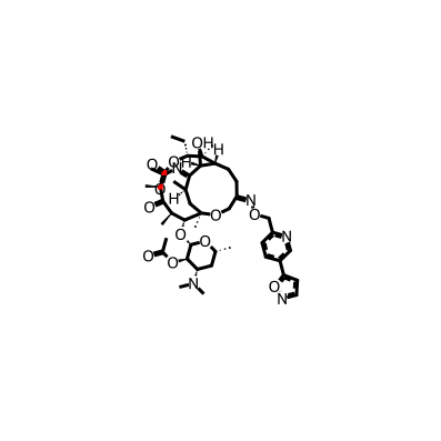 CC[C@H]1OC(=O)[C@H](C)C(=O)[C@H](C)[C@@H](O[C@@H]2O[C@H](C)C[C@H](N(C)C)[C@H]2OC(C)=O)[C@@]2(C)C[C@@H](C)/C(=N\C(C)=O)[C@H](C)[C@@H](CCC(=NOCc3ccc(-c4ccno4)cn3)CO2)[C@]1(C)O